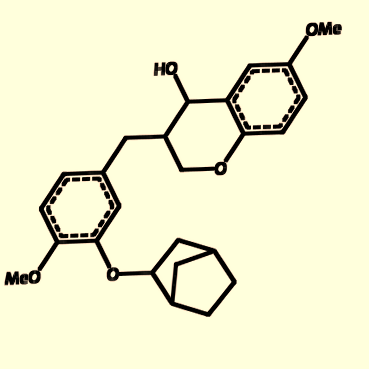 COc1ccc2c(c1)C(O)C(Cc1ccc(OC)c(OC3CC4CCC3C4)c1)CO2